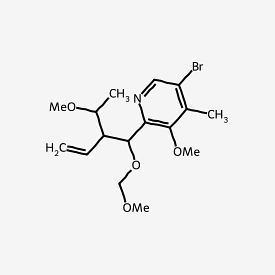 C=CC(C(C)OC)C(OCOC)c1ncc(Br)c(C)c1OC